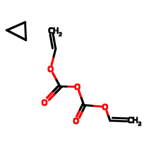 C1CC1.C=COC(=O)OC(=O)OC=C